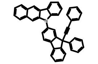 C(#CC1(c2ccccc2)c2ccccc2-c2ccc(-n3c4ccccc4c4cc5ccccc5cc43)cc21)c1ccccc1